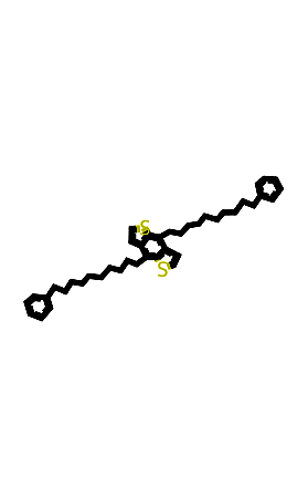 c1ccc(CCCCCCCCCCc2c3ccsc3c(CCCCCCCCCCc3ccccc3)c3ccsc23)cc1